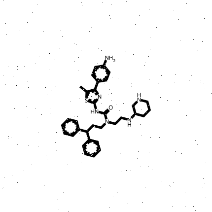 Cc1sc(NC(=O)N(CCNC2CCCNC2)CCC(c2ccccc2)c2ccccc2)nc1-c1ccc(N)cc1